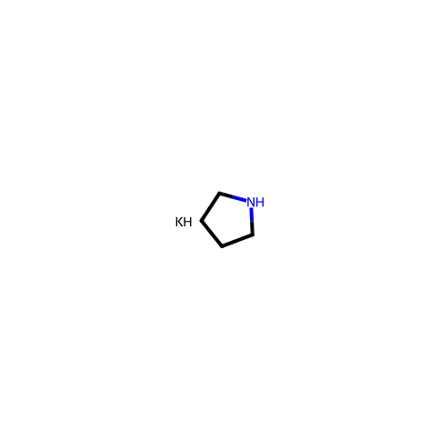 C1CCNC1.[KH]